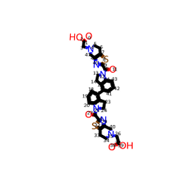 O=C(O)CN1CCc2sc(C(=O)N3CCc4c(-c5cccc6c5CCN6C(=O)c5nc6c(s5)CCN(CC(=O)O)C6)cccc43)nc2C1